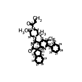 C=CC(=O)N1C[C@H](C)N(C2=NC(=O)C3(Cc4ccccc4C3)c3nc(-c4ccccc4F)c(Cl)cc32)C[C@H]1C